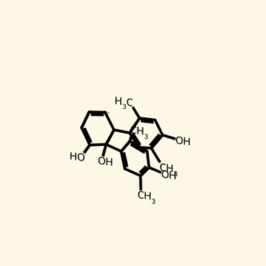 Cc1cc(C2[C]=CC=C(O)C2(O)c2cc(C)c(O)cc2C)c(C)cc1O